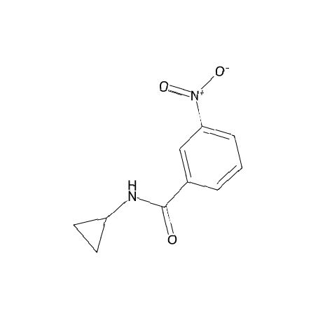 O=C(NC1CC1)c1cccc([N+](=O)[O-])c1